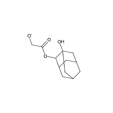 O=C(CCl)OC1C2CC3CC(C2)CC1(O)C3